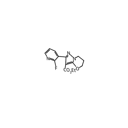 CCOC(=O)c1c(-c2cccnc2F)nn2c1OCCC2